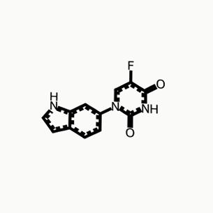 O=c1[nH]c(=O)n(-c2ccc3cc[nH]c3c2)cc1F